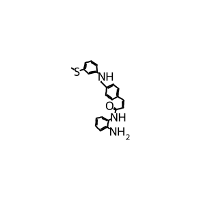 CSc1cccc(NCc2ccc(/C=C\C(=O)Nc3ccccc3N)cc2)c1